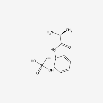 C[C@H](N)C(=O)N[C@@]1(CP(=O)(O)O)C=CC=CC1